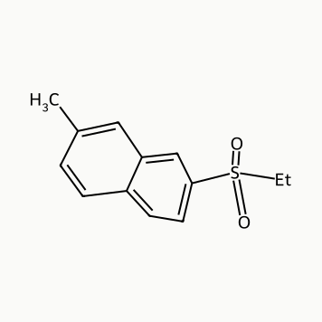 CCS(=O)(=O)c1ccc2ccc(C)cc2c1